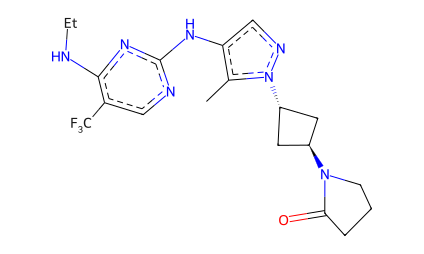 CCNc1nc(Nc2cnn([C@H]3C[C@H](N4CCCC4=O)C3)c2C)ncc1C(F)(F)F